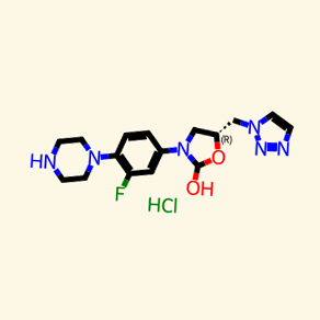 Cl.OC1O[C@@H](Cn2ccnn2)CN1c1ccc(N2CCNCC2)c(F)c1